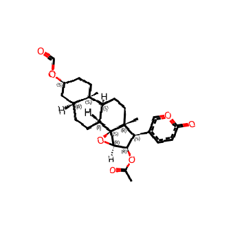 CC(=O)O[C@H]1[C@H]2O[C@]23[C@@H]2CC[C@@H]4C[C@@H](OC=O)CC[C@]4(C)[C@H]2CC[C@]3(C)[C@H]1c1ccc(=O)oc1